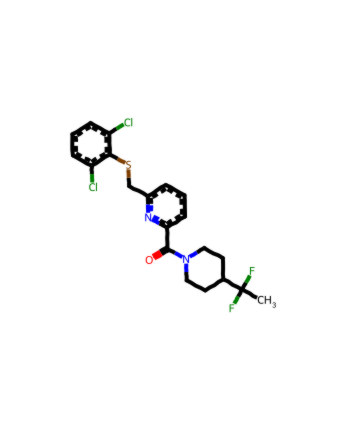 CC(F)(F)C1CCN(C(=O)c2cccc(CSc3c(Cl)cccc3Cl)n2)CC1